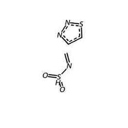 C=N[SH](=O)=O.c1csnn1